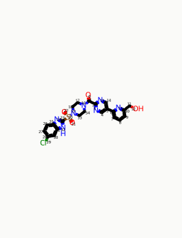 O=C(c1ncc(-c2cccc(CO)n2)cn1)N1CCN(S(=O)(=O)c2nc3ccc(Cl)cc3[nH]2)CC1